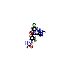 CCC(=O)NCc1ccc(C(=O)N2Cc3cnn(CC)c3Nc3cc(Cl)ccc32)cc1F